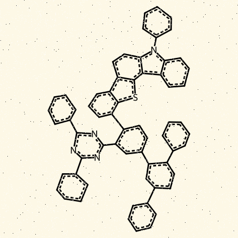 c1ccc(-c2ccc(-c3ccccc3)c(-c3ccc(-c4cccc5c4sc4c5ccc5c4c4ccccc4n5-c4ccccc4)c(-c4nc(-c5ccccc5)nc(-c5ccccc5)n4)c3)c2)cc1